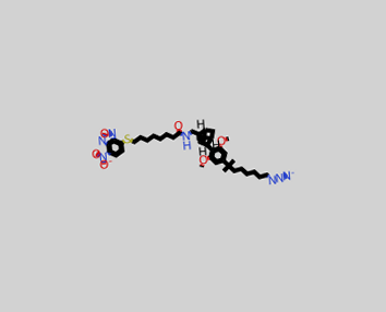 COc1cc(C(C)(C)CCCCCCN=[N+]=[N-])cc(OC)c1[C@H]1C=C(CNC(=O)CCCCCCCSc2ccc([N+](=O)[O-])c3nonc23)[C@H]2C[C@@H]1C2(C)C